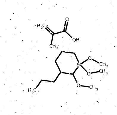 C=C(C)C(=O)O.CCCC1CCC[Si](OC)(OC)C1OC